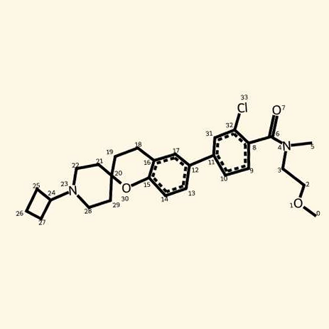 COCCN(C)C(=O)c1ccc(-c2ccc3c(c2)CCC2(CCN(C4CCC4)CC2)O3)cc1Cl